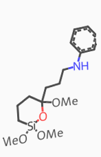 COC1(CCCNc2ccccc2)CCC[Si](OC)(OC)O1